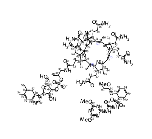 C/C1=C2N=C(/C=C3N=C(/C(C)=C4/[C@@H](CCC(N)=O)[C@](C)(CC(N)=O)[C@](C)([C@@H]5N=C1[C@](C)(CCC(=O)NCC(C)OP(=O)([O-])O[C@H]1[C@@H](O)[C@@H](n6cnc7cc(C)c(C)cc76)O[C@@H]1CO)[C@H]5CC(N)=O)[N]4[Co+][C]#N)[C@@](C)(CC(N)=O)[C@@H]\3CCC(N)=O)C(C)(C)[C@@H]/2CCC(N)=O.COCCOc1ccccc1S(=O)(=O)NC(=O)Nc1nc(OC)nc(OC)n1